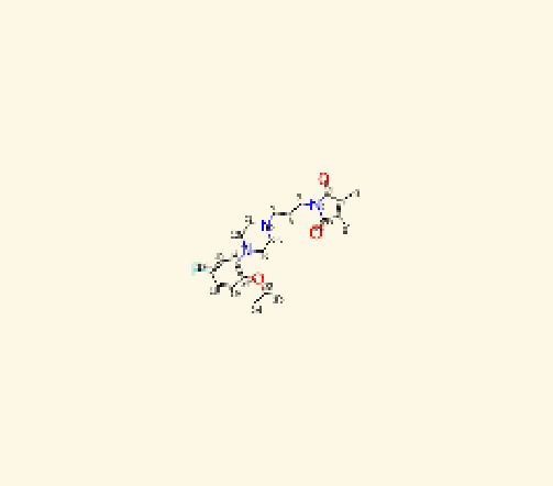 CC1=C(C)C(=O)N(CCCN2CCN(c3cc(F)ccc3OC(C)C)CC2)C1=O